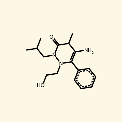 CC(C)CN1C(=O)C(C)C(N)=C(c2ccccc2)N1CCO